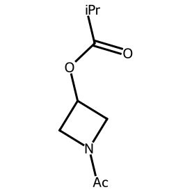 CC(=O)N1CC(OC(=O)C(C)C)C1